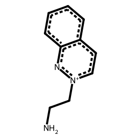 NCC[n+]1ccc2ccccc2n1